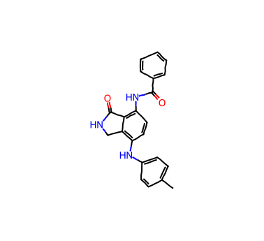 Cc1ccc(Nc2ccc(NC(=O)c3ccccc3)c3c2CNC3=O)cc1